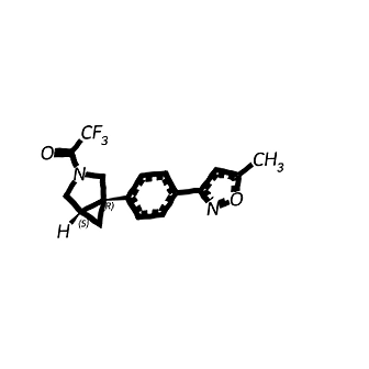 Cc1cc(-c2ccc([C@@]34C[C@@H]3CN(C(=O)C(F)(F)F)C4)cc2)no1